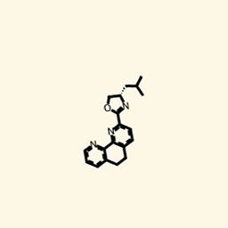 CC(C)C[C@H]1COC(c2ccc3c(n2)-c2ncccc2CC3)=N1